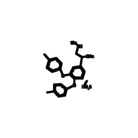 CC(=O)OC(CNC(C)(C)C)c1ccc(Oc2ccc(C)cc2)c(Oc2ccc(C)cc2)c1.CS(=O)(=O)O